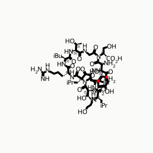 CCC(C)[C@H](NC(=O)[C@@H](CCCNC(=N)N)NC(=O)[C@@](CC(C)C)(C(=O)[C@@H](N)Cc1cccc(O)c1)N(C(=O)[C@H](CC(C)C)NC(=O)[C@@H](CC(C)C)NCCO)C(=O)[C@@H](N)[C@H](O)C(C)C)C(=O)N[C@H](C(=O)NCC(=O)N(C(=O)[C@@H](N)[C@H](O)C(N)=O)[C@@H](CO)C(=O)O)[C@H](C)O